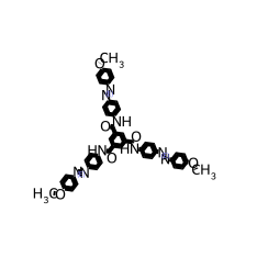 COc1ccc(/N=N/c2ccc(NC(=O)c3cc(C(=O)Nc4ccc(/N=N/c5ccc(OC)cc5)cc4)cc(C(=O)Nc4ccc(/N=N/c5ccc(OC)cc5)cc4)c3)cc2)cc1